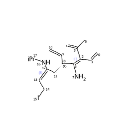 C=C/C(C(=C)C)=C(\N)[C@@H](C=C)C/C(=C\CI)NC(C)C